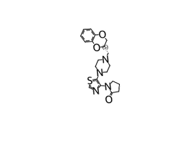 O=C1CCCN1c1ncsc1N1CCN(C[C@H]2COc3ccccc3O2)CC1